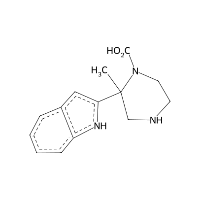 CC1(c2cc3ccccc3[nH]2)CNCCN1C(=O)O